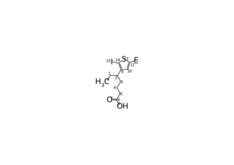 CCC(CCCC(=O)O)c1cc(F)sc1I